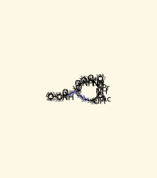 CC(=O)CCC1C(=O)NC(C(C)C)C(=O)NC(Cc2ccccc2)C(=O)N2CCCC(N2)C(=O)O[C@H](/C(C)=C/C=C/C(=O)Nc2ccc(-c3ccccc3)cc2)C/C=C/C=C/CC(C)C1O